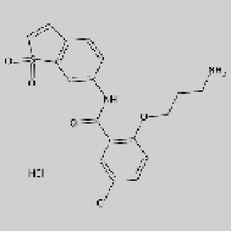 Cl.NCCCOc1ccc(Cl)cc1C(=O)Nc1ccc2c(c1)S(=O)(=O)C=C2